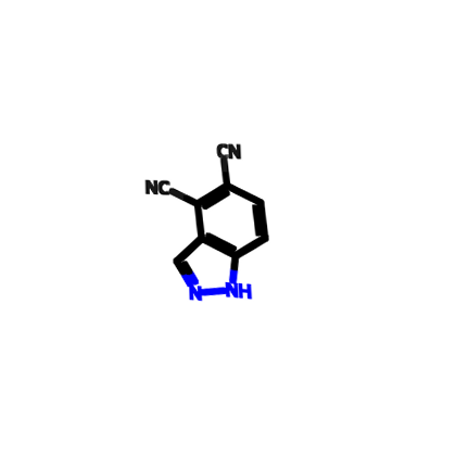 N#Cc1ccc2[nH]ncc2c1C#N